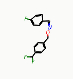 Fc1ccc(/[C]=N\OCc2ccc(C(F)F)cc2)cc1